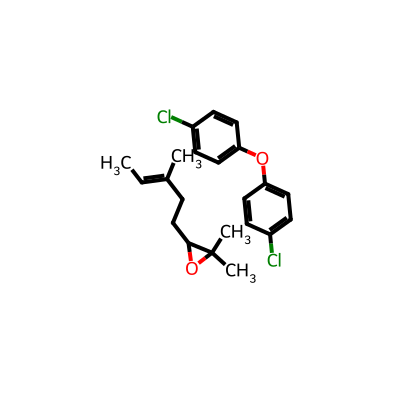 CC=C(C)CCC1OC1(C)C.Clc1ccc(Oc2ccc(Cl)cc2)cc1